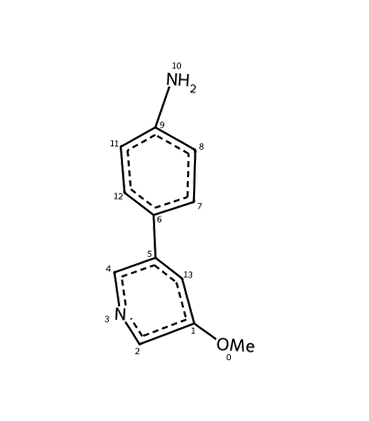 COc1cncc(-c2ccc(N)cc2)c1